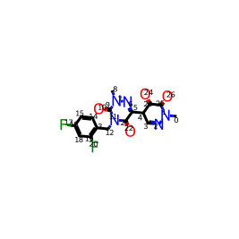 CN1N=CC(c2nn(C)c(=O)n(Cc3ccc(F)cc3F)c2=O)C(=O)C1=O